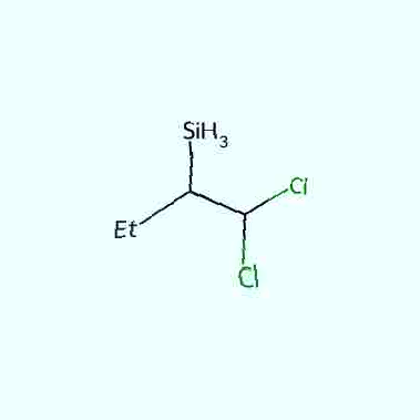 CCC([SiH3])C(Cl)Cl